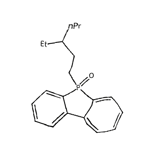 CCCC(CC)CCP1(=O)c2ccccc2-c2ccccc21